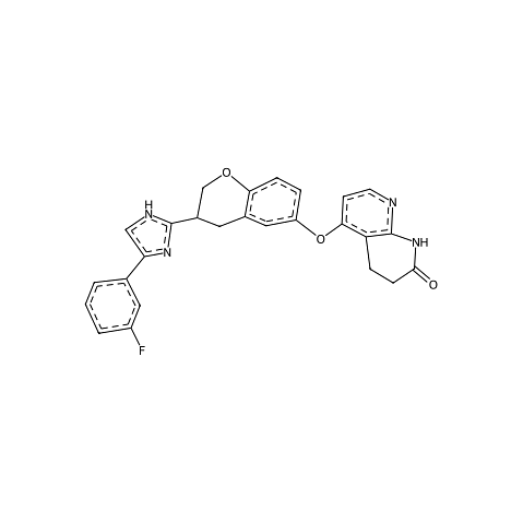 O=C1CCc2c(Oc3ccc4c(c3)CC(c3nc(-c5cccc(F)c5)c[nH]3)CO4)ccnc2N1